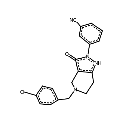 N#Cc1cccc(-n2[nH]c3c(c2=O)CN(Cc2ccc(Cl)cc2)CC3)c1